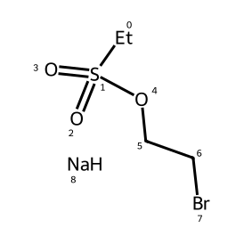 CCS(=O)(=O)OCCBr.[NaH]